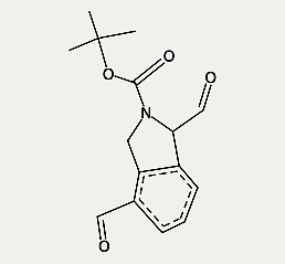 CC(C)(C)OC(=O)N1Cc2c(C=O)cccc2C1C=O